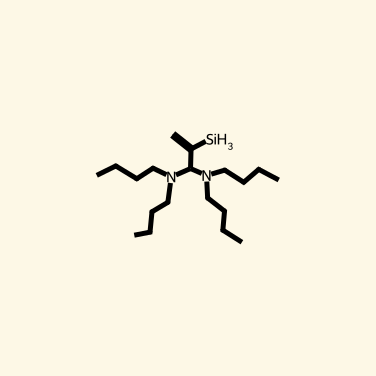 C=C([SiH3])C(N(CCCC)CCCC)N(CCCC)CCCC